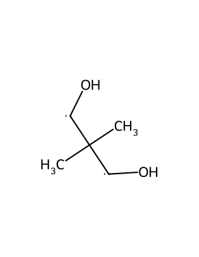 CC(C)([CH]O)[CH]O